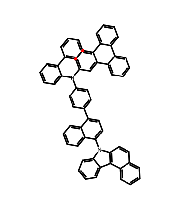 c1ccc(-c2ccccc2N(c2ccc(-c3ccc(-n4c5ccccc5c5c6ccccc6ccc54)c4ccccc34)cc2)c2ccc3c4ccccc4c4ccccc4c3c2)cc1